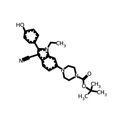 CCn1c(-c2ccc(O)cc2)c(C#N)c2ccc(N3CCN(C(=O)OC(C)(C)C)CC3)cc21